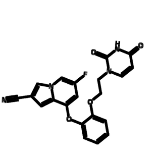 N#Cc1cc2c(Oc3ccccc3OCCn3ccc(=O)[nH]c3=O)cc(F)cn2c1